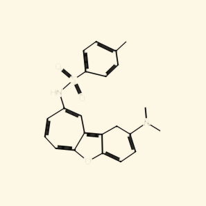 Cc1ccc(S(=O)(=O)NC2=Cc3c4c(oc3=CC=C2)=CC=C(N(C)C)C4)cc1